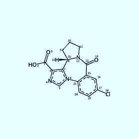 O=C(O)c1ncn2c1[C@@H]1CCCN1C(=O)c1cc(Cl)ccc1-2